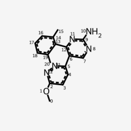 COc1ccc(-c2cnc(N)nc2-c2c(C)cccc2C)nn1